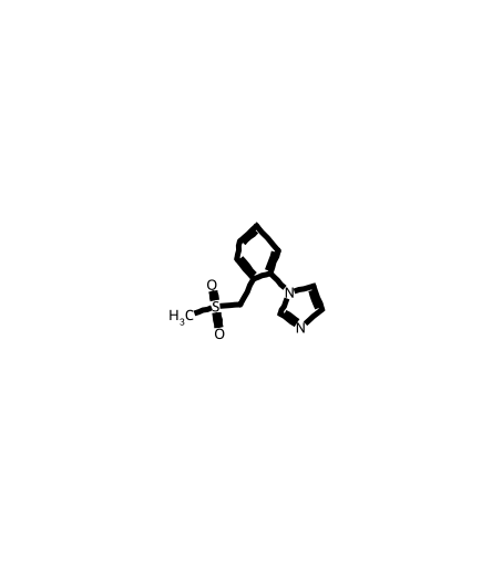 CS(=O)(=O)Cc1ccccc1-n1ccnc1